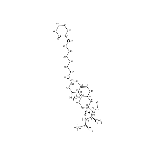 CC(=O)N[C@H](C)[C@H]1CCC2C3CC=C4C[C@@H](OCCCCCCOC5CCCCO5)CC[C@]4(C)C3CC[C@@]21C